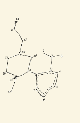 CC(C)c1ccccc1C1CN(CCF)CCN1C